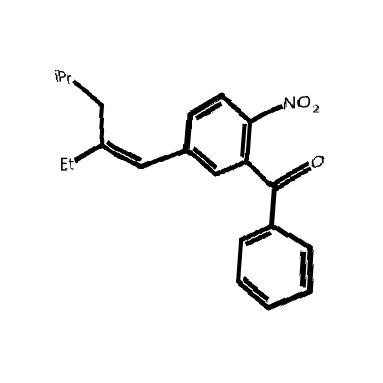 CCC(=Cc1ccc([N+](=O)[O-])c(C(=O)c2ccccc2)c1)CC(C)C